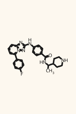 CC(NC(=O)c1ccc(Nc2nc3cccc(-c4ccc(F)cc4)n3n2)cc1)C1CCNCC1